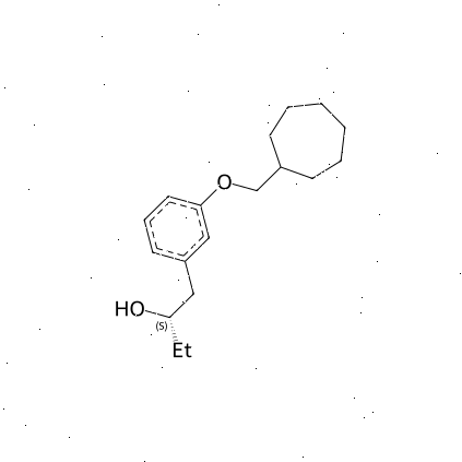 CC[C@H](O)Cc1cccc(OCC2CCCCCC2)c1